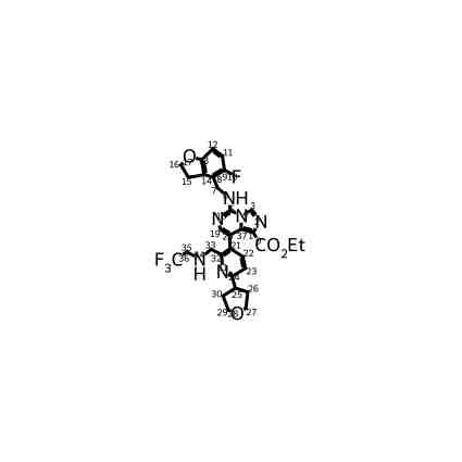 CCOC(=O)c1ncn2c(NCc3c(F)ccc4c3CCO4)ncc(-c3ccc(C4CCOCC4)nc3CNCC(F)(F)F)c12